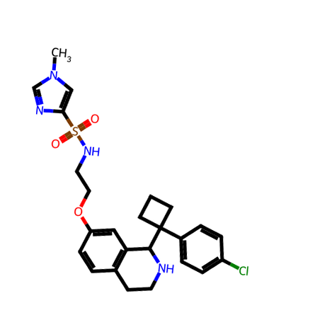 Cn1cnc(S(=O)(=O)NCCOc2ccc3c(c2)C(C2(c4ccc(Cl)cc4)CCC2)NCC3)c1